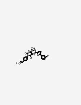 Cn1nc(-c2ccc(-c3cccc(Cl)c3)o2)nc2c(=O)n(-c3ccc(CCO)cc3)c(=O)nc1-2